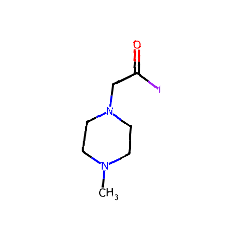 CN1CCN(CC(=O)I)CC1